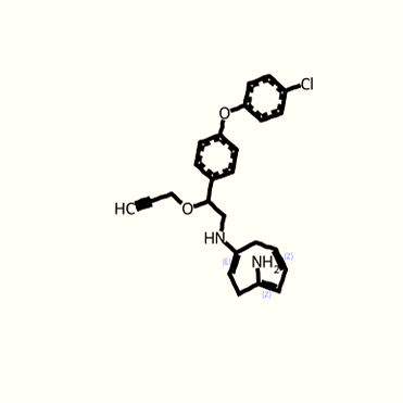 C#CCOC(CN/C1=C/C/C(N)=C/C=C\C1)c1ccc(Oc2ccc(Cl)cc2)cc1